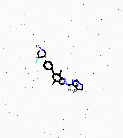 CCOC(=O)[C@@H](c1ncn2c1C[C@@H](F)C2)n1cc2c(C)cc(-c3ccc([C@H]4CCN(CC)C[C@@H]4F)cc3)c(C)c2n1